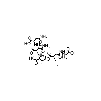 CC[C@H](C)[C@H](N)C(=O)O.NC(=O)C[C@H](N)C(=O)O.NC(=O)C[C@H](N)C(=O)O.NC(=O)C[C@H](N)C(=O)O.NCC(=O)O